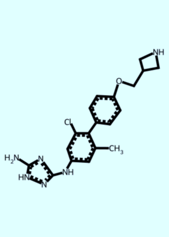 Cc1cc(Nc2n[nH]c(N)n2)cc(Cl)c1-c1ccc(OCC2CNC2)cc1